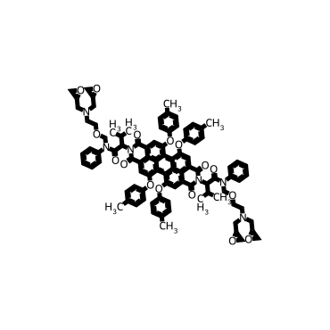 Cc1ccc(Oc2cc3c4c(cc(Oc5ccc(C)cc5)c5c6c(Oc7ccc(C)cc7)cc7c8c(cc(Oc9ccc(C)cc9)c(c2c45)c86)C(=O)N(C(C(=O)N(COCCN(CC2CO2)CC2CO2)c2ccccc2)C(C)C)C7=O)C(=O)N(C(C(=O)N(COCCN(CC2CO2)CC2CO2)c2ccccc2)C(C)C)C3=O)cc1